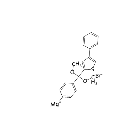 COC(OC)(c1cc[c]([Mg+])cc1)c1cc(-c2ccccc2)cs1.[Br-]